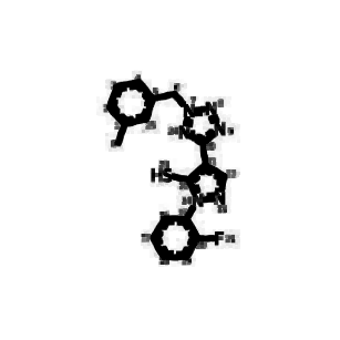 Cc1cccc(Cn2nnc(-c3cnn(-c4ccccc4F)c3S)n2)c1